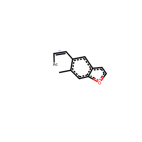 CC(=O)/C=C\c1cc2ccoc2cc1C